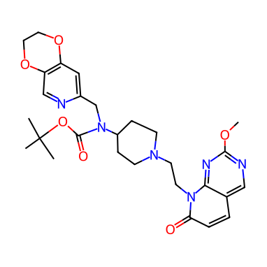 COc1ncc2ccc(=O)n(CCN3CCC(N(Cc4cc5c(cn4)OCCO5)C(=O)OC(C)(C)C)CC3)c2n1